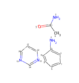 CC(N)=O.Nc1ccccc1.c1cncnc1